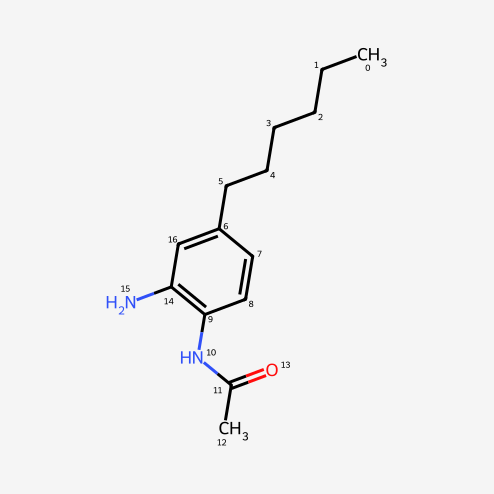 CCCCCCc1ccc(NC(C)=O)c(N)c1